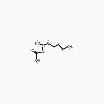 CCCCOP(O)OC(=O)O